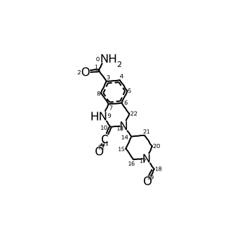 NC(=O)c1ccc2c(c1)NC(=C=O)N(C1CCN(C=O)CC1)C2